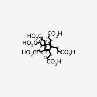 O=C(O)CCC1=C(CCC(=O)O)C(CCC(=O)O)(CCC(=O)O)C(CCC(=O)O)=C1CCC(=O)O